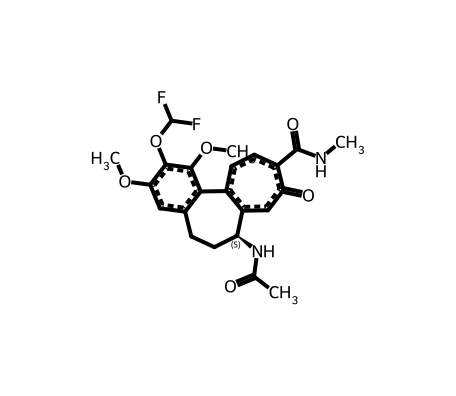 CNC(=O)c1ccc2c(cc1=O)[C@@H](NC(C)=O)CCc1cc(OC)c(OC(F)F)c(OC)c1-2